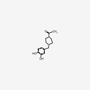 CC(=O)N1CCN(Cc2ccc(O)c(O)c2)CC1